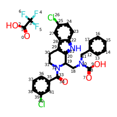 O=C(O)C(F)(F)F.O=C(O)N(Cc1ccccc1)CC1c2[nH]c3ccc(Cl)cc3c2CCN1C(=O)c1cccc(Cl)c1